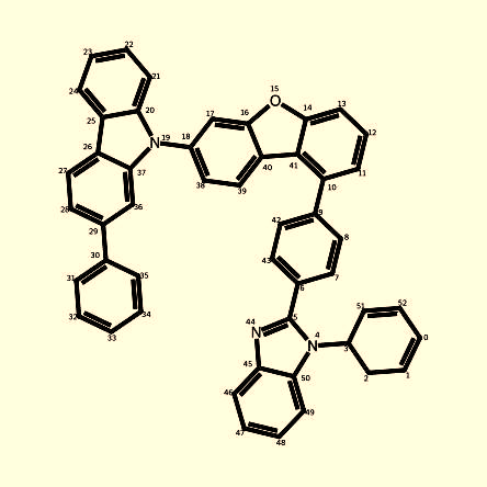 C1=CCC(n2c(-c3ccc(-c4cccc5oc6cc(-n7c8ccccc8c8ccc(-c9ccccc9)cc87)ccc6c45)cc3)nc3ccccc32)C=C1